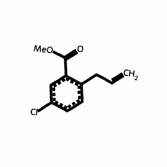 C=CCc1ccc(Cl)cc1C(=O)OC